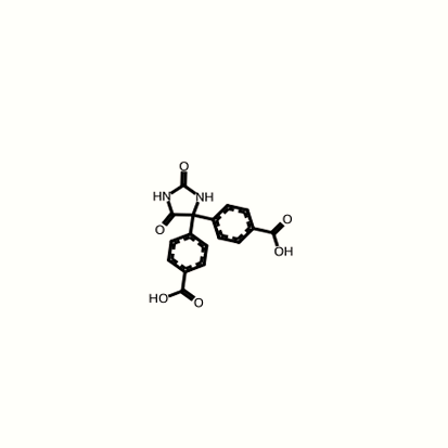 O=C1NC(=O)C(c2ccc(C(=O)O)cc2)(c2ccc(C(=O)O)cc2)N1